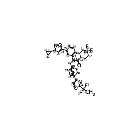 CC(F)(F)c1nc(C23CCC(CN(C(=O)C4CCC(F)(F)CC4)c4cccc(-c5cc(C6CC6)no5)c4)(CC2)CC3)no1